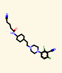 N#CCCCC(=O)NC1CCC(CCN2CCN(c3ccc(F)c(C#N)c3F)CC2)CC1